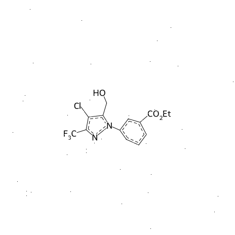 CCOC(=O)c1cccc(-n2nc(C(F)(F)F)c(Cl)c2CO)c1